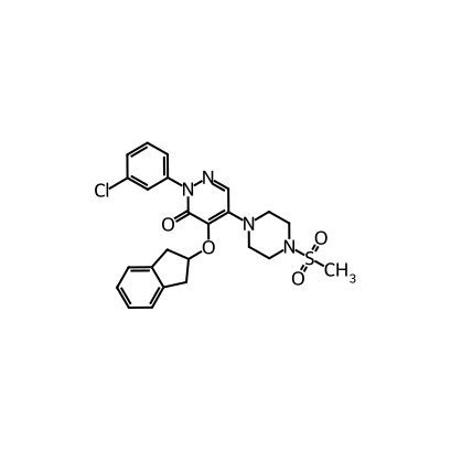 CS(=O)(=O)N1CCN(c2cnn(-c3cccc(Cl)c3)c(=O)c2OC2Cc3ccccc3C2)CC1